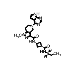 CCS(=O)(=O)NC(=O)[C@H]1C[C@H](NC(=O)c2nn(C)c3c2CN(c2ncnc4[nH]ccc24)CC3)C1